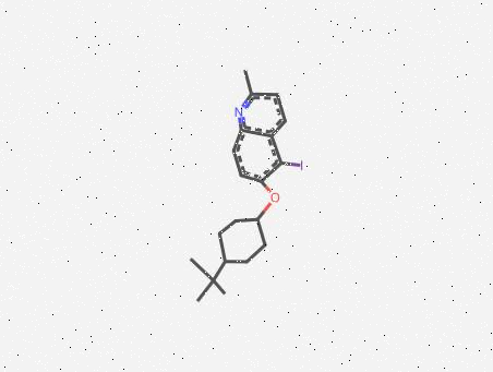 Cc1ccc2c(I)c(OC3CCC(C(C)(C)C)CC3)ccc2n1